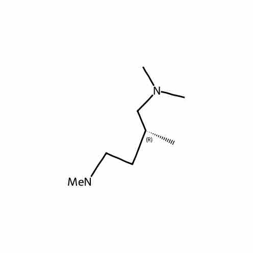 CNCC[C@@H](C)CN(C)C